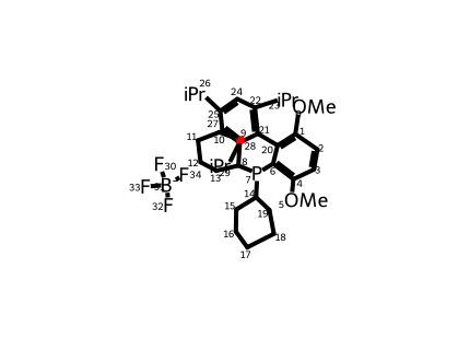 COc1ccc(OC)c(P(C2CCCCC2)C2CCCCC2)c1-c1c(C(C)C)cc(C(C)C)cc1C(C)C.F[B-](F)(F)F